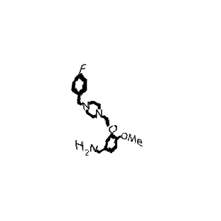 COc1ccc(CN)cc1OCCN1CCN(Cc2ccc(F)cc2)CC1